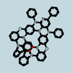 c1ccc(-c2cc3c4c(n2)N(c2ccccc2)c2cc5c(cc2B4c2cc4c(cc2N3c2ccccc2)Oc2cccc3c2B4c2cccc4c6ccccc6n-3c24)B2c3c(cccc3-n3c4ccccc4c4cccc2c43)O5)cc1